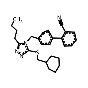 CCCCc1nnc(SCC2CCCCC2)n1Cc1ccc(-c2ccccc2C#N)cc1